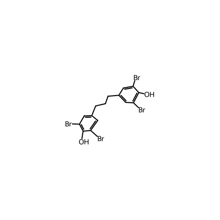 Oc1c(Br)cc(CCCc2cc(Br)c(O)c(Br)c2)cc1Br